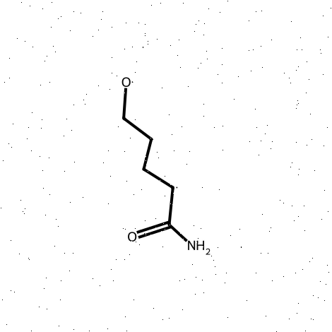 NC(=O)[CH]CCC[O]